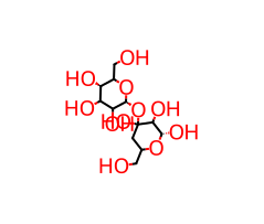 OCC1CC(O)(O[C@@H]2OC(CO)[C@H](O)C(O)C2O)C(O)[C@H](O)O1